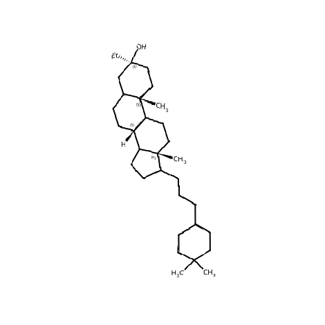 CC[C@]1(O)CC[C@@]2(C)C(CC[C@@H]3C2CC[C@]2(C)C(CCCC4CCC(C)(C)CC4)CCC32)C1